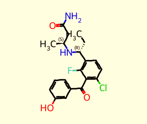 CC[C@@H](N[C@@H](C)CC(N)=O)c1ccc(Cl)c(C(=O)c2cccc(O)c2)c1F